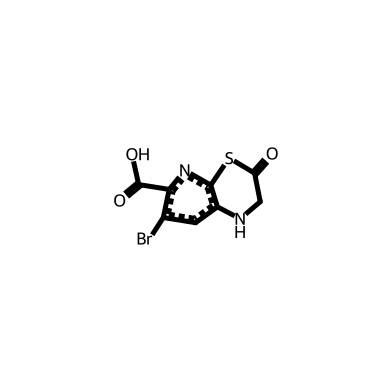 O=C1CNc2cc(Br)c(C(=O)O)nc2S1